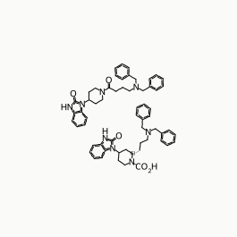 O=C(CCCN(Cc1ccccc1)Cc1ccccc1)N1CCC(n2c(=O)[nH]c3ccccc32)CC1.O=C(O)N1CCC(n2c(=O)[nH]c3ccccc32)C[C@@H]1CCCN(Cc1ccccc1)Cc1ccccc1